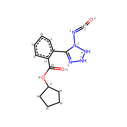 O=C=NN1NNN=C1c1ccccc1C(=O)OC1CCCC1